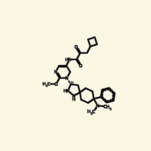 COC1=NC=C(NC(=O)C(=O)CC2CCC2)CN1[C@@H]1CC2(CCC(c3ccccc3)(N(C)C)CC2)NN1